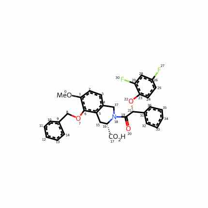 COc1ccc2c(c1OCc1ccccc1)C[C@@H](C(=O)O)N(C(=O)[C@H](Oc1ccc(F)cc1F)c1ccccc1)C2